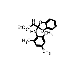 CCOC(=O)NC1(Nc2c(C)cc(C)cc2C)Oc2ccccc2O1